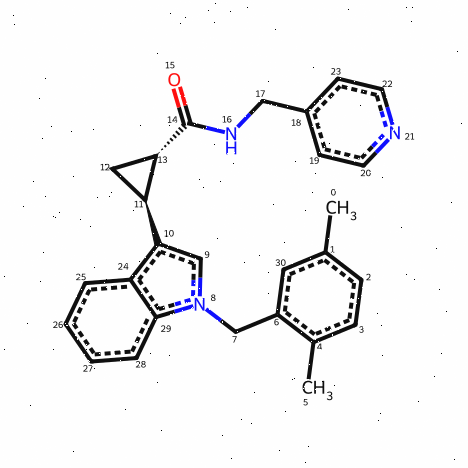 Cc1ccc(C)c(Cn2cc([C@H]3C[C@@H]3C(=O)NCc3ccncc3)c3ccccc32)c1